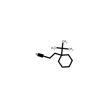 CC(C)(C)C1(CCC#N)CCCCC1